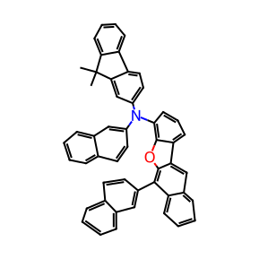 CC1(C)c2ccccc2-c2ccc(N(c3ccc4ccccc4c3)c3cccc4c3oc3c(-c5ccc6ccccc6c5)c5ccccc5cc34)cc21